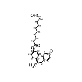 CC(Cc1ccc([O])cc1)=C1C=CC(OC(=O)CCCCCCCC[C]=O)=CC1